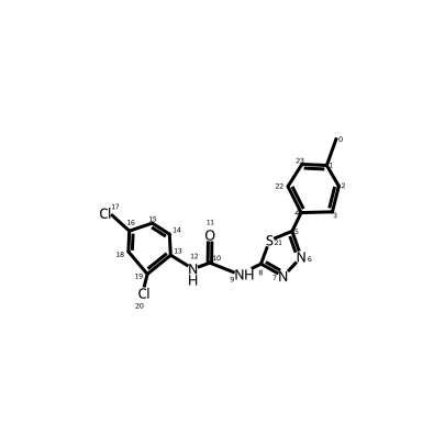 Cc1ccc(-c2nnc(NC(=O)Nc3ccc(Cl)cc3Cl)s2)cc1